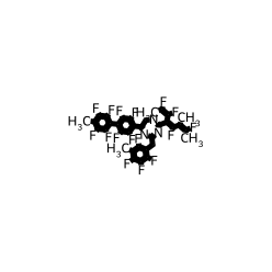 C\C(F)=C(F)/C(C1=NCC(c2c(F)c(F)c(-c3c(F)c(F)c(C)c(F)c3F)c(F)c2F)=NC(Cc2c(F)c(C)c(F)c(F)c2F)=N1)=C(F)\C(C)=C(/C)F